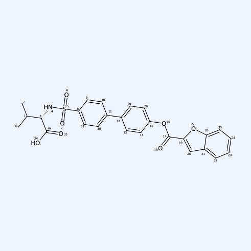 CC(C)[C@H](NS(=O)(=O)c1ccc(-c2ccc(OC(=O)c3cc4ccccc4o3)cc2)cc1)C(=O)O